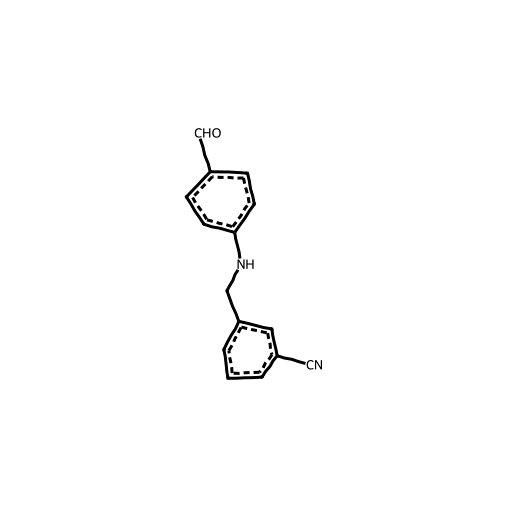 N#Cc1cccc(CNc2ccc(C=O)cc2)c1